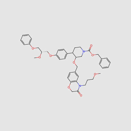 COCCCN1C(=O)COc2ccc(COC3CN(C(=O)OCc4ccccc4)CCC3c3ccc(OC[C@@H](COc4ccccc4)OC)cc3)cc21